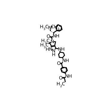 C=CC(=O)Nc1ccc(C(=O)NC2CCC(NC3NNC4=C3CN(C(=O)N[C@H](CN(C)C)c3ccccc3)C4(C)C)CC2)cc1